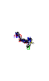 Cc1sc2c(c1C)C(c1ccc(Cl)cc1)=N[C@@H](CC(=O)N1CCN(C(=O)/C=C/C(=O)Nc3cccn(C)c3=O)CC1)c1nnc(C)n1-2